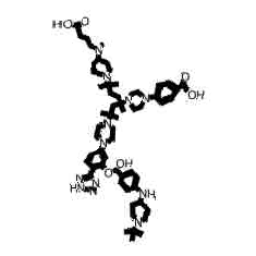 CN(CCCC(=O)O)C1CCN(C(C)(C)CCC(C)(CC(C)(C)N2CCN(c3ccc(-c4nn[nH]n4)c(OC(O)c4ccc(NC5CCN(C(C)(C)C)CC5)cc4)c3)CC2)N2CCN(c3ccc(C(=O)O)cc3)CC2)CC1